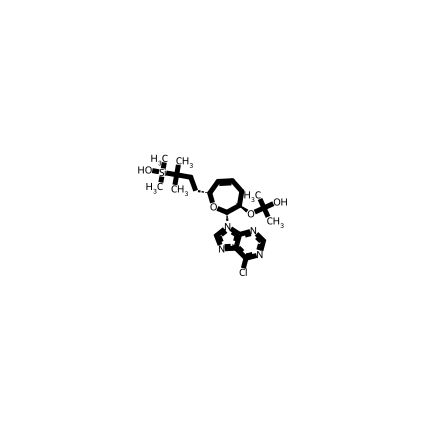 CC(C)(O)O[C@@H]1CC=C[C@@H](CCC(C)(C)[Si](C)(C)O)O[C@H]1n1cnc2c(Cl)ncnc21